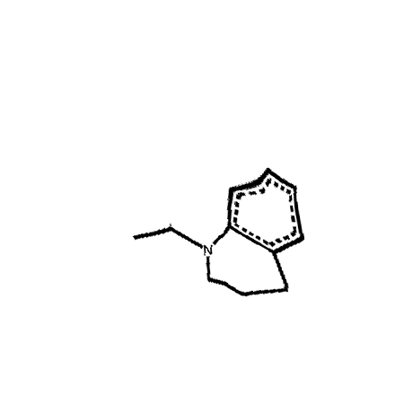 C[CH]N1CCCc2ccccc21